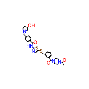 CC(=O)N1CCN(C(=O)c2cccc(CSc3cnc(NC(=O)c4ccc(CN5CCC(O)C5)cc4)s3)c2)CC1